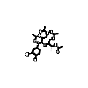 CC(=O)OCC(OC(Sc1ccc(Cl)c(Cl)c1)[C@H](COC(C)=O)OC(C)=O)[C@@H](C)OC(C)=O